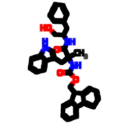 CC(Cc1c[nH]c2ccccc12)(NC(=O)OCC1c2ccccc2-c2ccccc21)C(=O)NC(CO)Cc1ccccc1